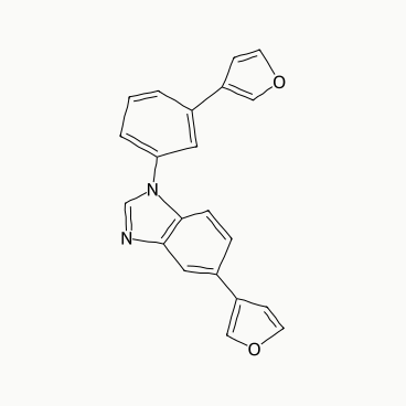 c1cc(-c2ccoc2)cc(-n2cnc3cc(-c4ccoc4)ccc32)c1